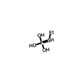 CC[SH]=P(O)(O)O